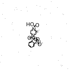 C[C@@H]1CN(S(=O)(=O)c2ccccc2[N+](=O)[O-])CCN1C(=O)O